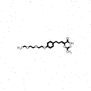 CCOCCOCCOc1ccc(CCC=C(OC(C)=O)C(=O)O)cc1